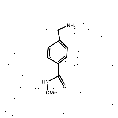 CONC(=O)c1ccc(CN)cc1